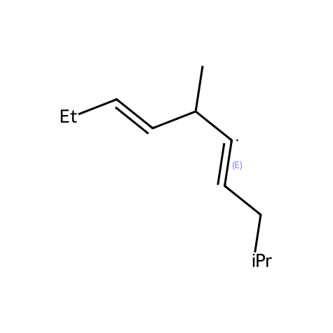 CCC=CC(C)/[C]=C/CC(C)C